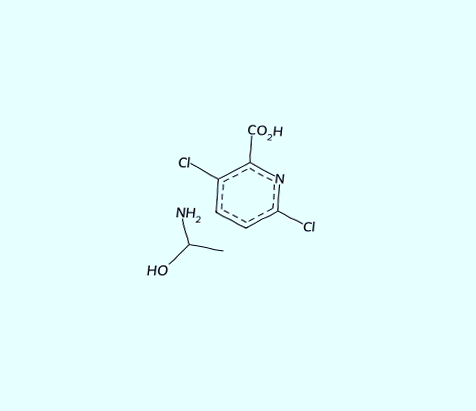 CC(N)O.O=C(O)c1nc(Cl)ccc1Cl